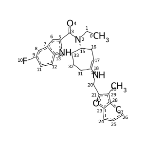 CCN(C(=O)c1cc2cc(F)ccc2[nH]1)[C@@H]1CC=C(NCc2oc3ccccc3c2C)CCC1